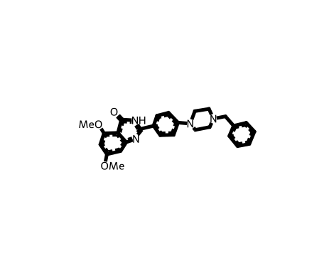 COc1cc(OC)c2c(=O)[nH]c(-c3ccc(N4CCN(Cc5ccccc5)CC4)cc3)nc2c1